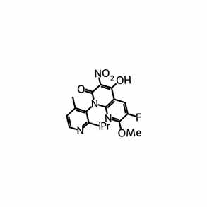 COc1nc2c(cc1F)c(O)c([N+](=O)[O-])c(=O)n2-c1c(C)ccnc1C(C)C